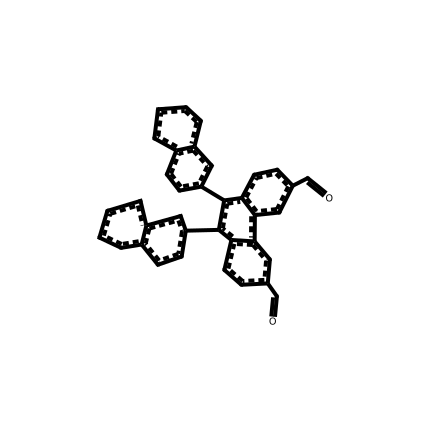 O=Cc1ccc2c(-c3ccc4ccccc4c3)c(-c3ccc4ccccc4c3)c3ccc(C=O)cc3c2c1